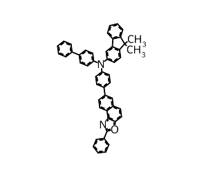 CC1(C)c2ccccc2-c2cc(N(c3ccc(-c4ccccc4)cc3)c3ccc(-c4ccc5c(ccc6oc(-c7ccccc7)nc65)c4)cc3)ccc21